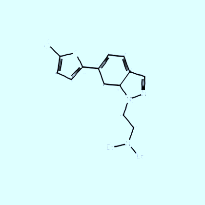 CCN(CC)CCN1N=CC2=CC=C(c3ccc(Cl)s3)CC21